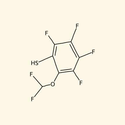 Fc1c(F)c(F)c(OC(F)F)c(S)c1F